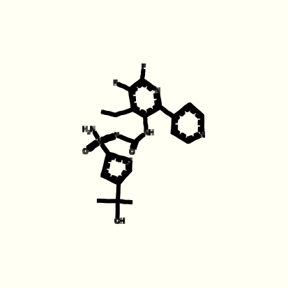 CCc1c(F)c(F)nc(-c2ccncc2)c1NC(=O)N=S(N)(=O)c1cc(C(C)(C)O)cs1